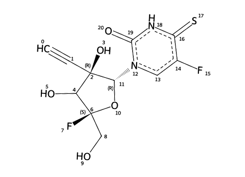 C#C[C@@]1(O)C(O)[C@@](F)(CO)O[C@H]1n1cc(F)c(=S)[nH]c1=O